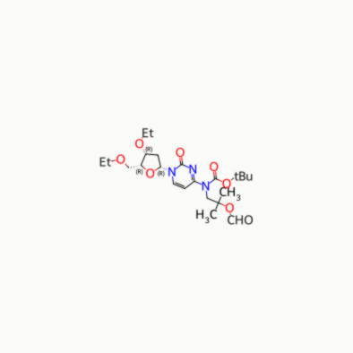 CCOC[C@H]1O[C@@H](n2ccc(N(CC(C)(C)OC=O)C(=O)OC(C)(C)C)nc2=O)C[C@H]1OCC